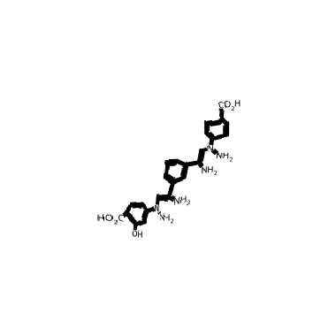 N/C(=C\N(N)c1ccc(C(=O)O)cc1)c1cccc(/C(N)=C/N(N)c2ccc(C(=O)O)c(O)c2)c1